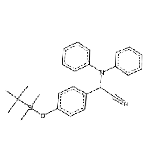 CC(C)(C)[Si](C)(C)Oc1ccc(C(C#N)N(c2ccccc2)c2ccccc2)cc1